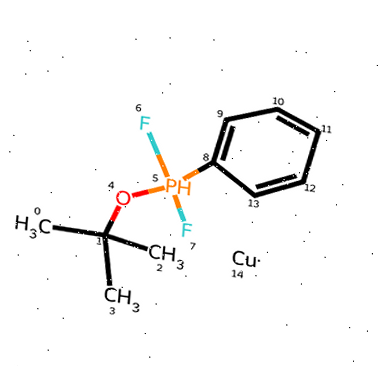 CC(C)(C)O[PH](F)(F)c1ccccc1.[Cu]